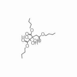 CCCCOC(=O)CC(O)(C(=O)OCCCC)C(O)(O)C(=O)OCCCC